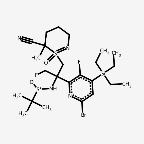 CC[Si](CC)(CC)c1cc(Br)nc(C(CF)(CS2(=O)=NCCCC2(C)C#N)N[S+]([O-])C(C)(C)C)c1F